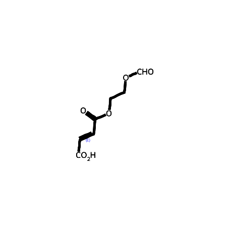 O=COCCOC(=O)/C=C/C(=O)O